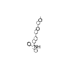 CC1=C(NC(Cc2ccccc2)C2=CC3=CC=C(C4=Cc5ccc(C6=Cc7ccc(C)cc7CC6)cc5CC4)CC3CC2)C=CCC1